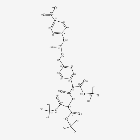 CC(C)(C)OC(=O)N(CC(=O)N(C(=O)OC(C)(C)C)c1ccc(COC(=O)Oc2ccc([N+](=O)[O-])cc2)cc1)C(=O)OC(C)(C)C